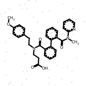 COc1ccc(CCN(CCC(=O)O)C(=O)c2ccccc2-c2ccccc2C(=O)N(C)c2ccccn2)cc1